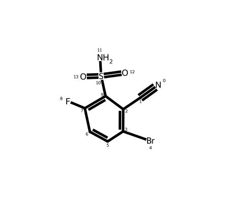 N#Cc1c(Br)ccc(F)c1S(N)(=O)=O